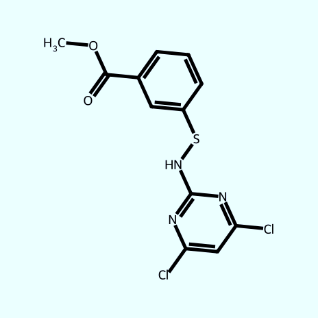 COC(=O)c1cccc(SNc2nc(Cl)cc(Cl)n2)c1